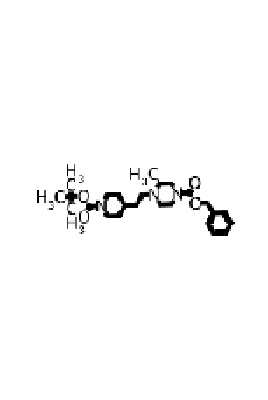 C[C@H]1CN(C(=O)OCc2ccccc2)CCN1CCC1CCN(C(=O)OC(C)(C)C)CC1